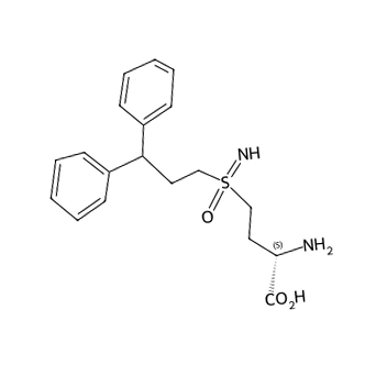 N=S(=O)(CCC(c1ccccc1)c1ccccc1)CC[C@H](N)C(=O)O